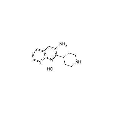 Cl.Nc1cc2cccnc2nc1C1CCNCC1